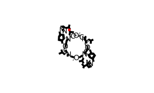 CC(C)C[C@H]1CO[C@H](C)CN(C)[C@@H](CC(C)C)CO[C@H](Cc2ccc(Cn3ccc(C(C)C)n3)cc2)CN(C)[C@@H](CC(C)C)CO[C@H](C)CN(C)[C@@H](CC(C)C)CO[C@H](Cc2ccc(Cn3ccc(C(C)C)n3)cc2)CN1C